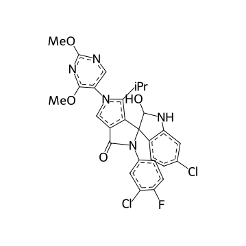 COc1ncc(-n2cc3c(c2C(C)C)C2(c4ccc(Cl)cc4NC2O)N(c2ccc(F)c(Cl)c2)C3=O)c(OC)n1